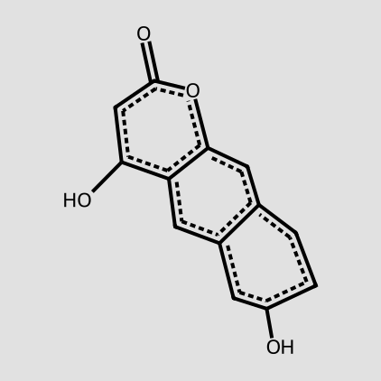 O=c1cc(O)c2cc3cc(O)ccc3cc2o1